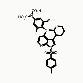 Cc1ccc(S(=O)(=O)n2cc(C3CCCOC3C)c3c(Oc4c(F)cc(N(C(=O)O)C(=O)O)cc4F)ccnc32)cc1